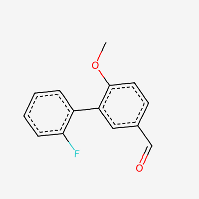 COc1ccc(C=O)cc1-c1ccccc1F